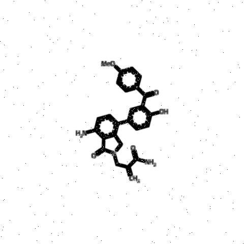 C=C(CN1Cc2c(-c3ccc(O)c(C(=O)c4ccc(OC)cc4)c3)ccc(N)c2C1=O)C(N)=O